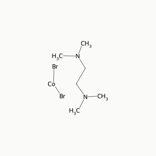 CN(C)CCN(C)C.[Br][Co][Br]